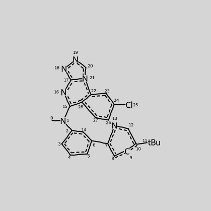 CN(c1cccc(-c2ccc(C(C)(C)C)cn2)c1)c1nc2nncn2c2cc(Cl)ccc12